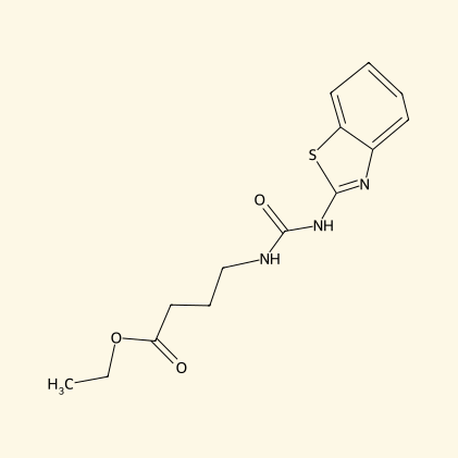 CCOC(=O)CCCNC(=O)Nc1nc2ccccc2s1